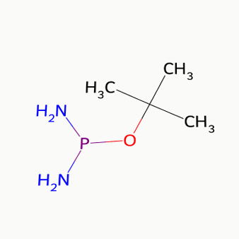 CC(C)(C)OP(N)N